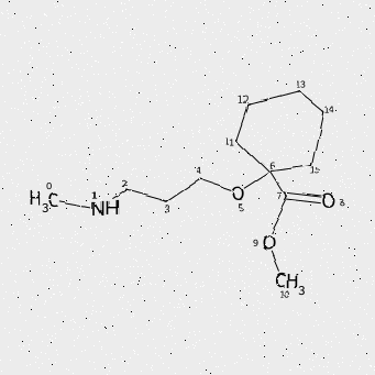 CNCCCOC1(C(=O)OC)CCCCC1